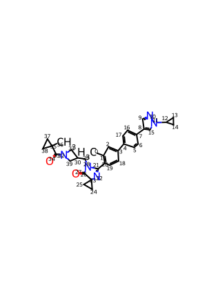 Cc1cc(-c2ccc(-c3cnn(C4CC4)c3)cc2)ccc1C1=NC2(CC2)C(=O)N1CC1CN(C(=O)C2(C)CC2)C1